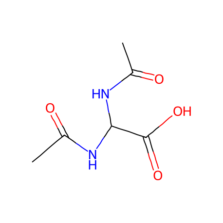 CC(=O)NC(NC(C)=O)C(=O)O